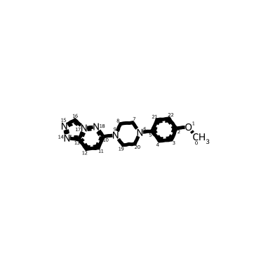 COc1ccc(N2CCN(c3ccc4nncn4n3)CC2)cc1